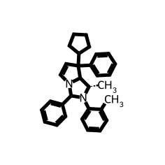 Cc1ccccc1N1C(c2ccccc2)N2C=CC(c3ccccc3)(C3CCCC3)C2[C@@H]1C